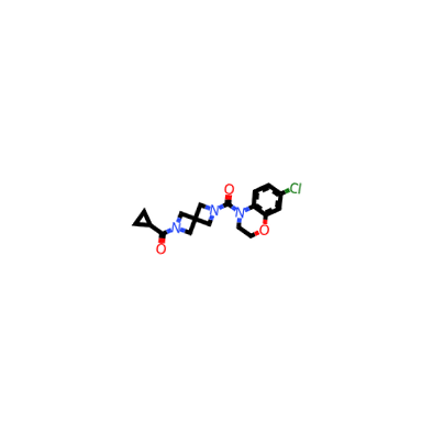 O=C(C1CC1)N1CC2(C1)CN(C(=O)N1CCOc3cc(Cl)ccc31)C2